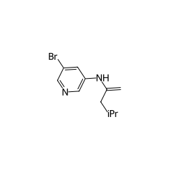 C=C(CC(C)C)Nc1cncc(Br)c1